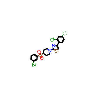 O=S(=O)(c1cccc(Br)c1)C1CCN(c2nc(-c3ccc(Cl)cc3Cl)cs2)CC1